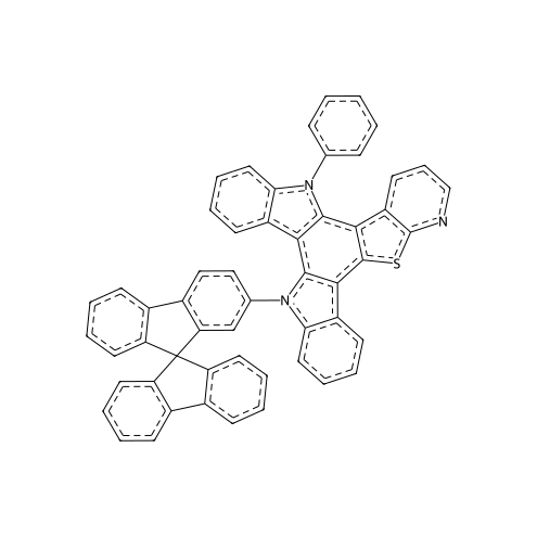 c1ccc(-n2c3ccccc3c3c4c(c5ccccc5n4-c4ccc5c(c4)C4(c6ccccc6-c6ccccc64)c4ccccc4-5)c4sc5ncccc5c4c32)cc1